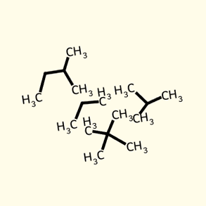 CC(C)(C)C.CC(C)C.CCC.CCC(C)C